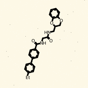 CCc1ccc(-c2ccc(C(=O)NCC(=O)NCC3COc4ccccc4O3)cc2)cc1